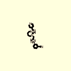 N#Cc1cccc(-n2nnc(CN3CCCCn4c(-c5ccncc5)nnc43)n2)c1